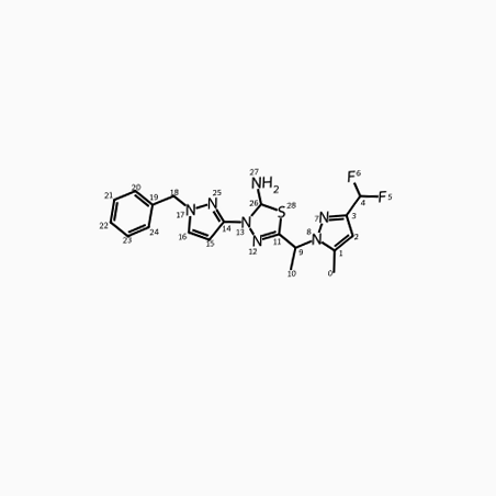 Cc1cc(C(F)F)nn1C(C)C1=NN(c2ccn(Cc3ccccc3)n2)C(N)S1